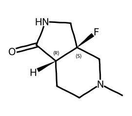 CN1CC[C@@H]2C(=O)NC[C@]2(F)C1